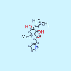 COc1cc(O)c(CC=C(C)C)c(O)c1C(=O)C=Cc1ccccn1